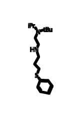 CC(C)N(CCNCCCSc1ccccc1)C(C)(C)C